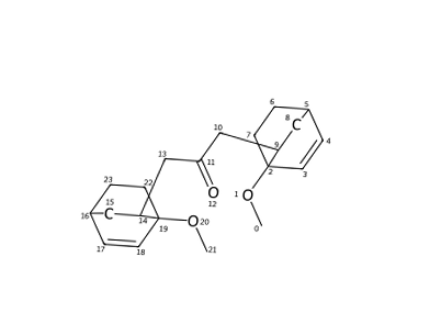 COC12C=CC(CC1)CC2CC(=O)CC1CC2C=CC1(OC)CC2